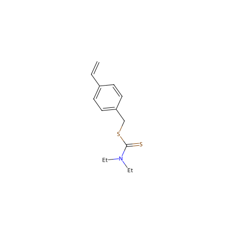 C=Cc1ccc(CSC(=S)N(CC)CC)cc1